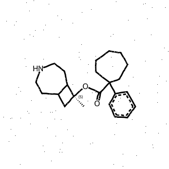 C[C@]1(OC(=O)C2(c3ccccc3)CCCCCC2)CC2CCNCCC21